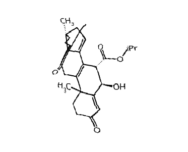 CC(C)OC(=O)[C@H]1C2=C(CCC34C(=O)CC[C@]3(C)CC=C24)C2(C)CCC(=O)C=C2[C@@H]1O